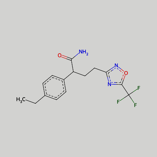 CCc1ccc(C(CCc2noc(C(F)(F)F)n2)C(N)=O)cc1